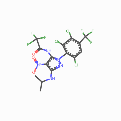 CC(C)Nc1nn(-c2c(Cl)cc(C(F)(F)F)c(Cl)c2Cl)c(NC(=O)C(F)(F)F)c1[N+](=O)[O-]